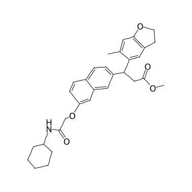 COC(=O)CC(c1ccc2ccc(OCC(=O)NC3CCCCC3)cc2c1)c1cc2c(cc1C)OCC2